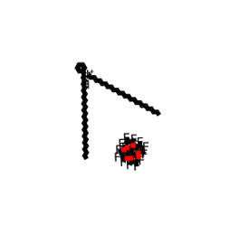 CCCCCCCCCCCCCCCCCCCCCCCCCC[NH+](CCCCCCCCCCCCCCCCCCCCCCCCCC)c1ccccc1.Fc1c(F)c(F)c([B-](c2c(F)c(F)c(F)c(F)c2F)(c2c(F)c(F)c(F)c(F)c2F)c2c(F)c(F)c(F)c(F)c2F)c(F)c1F